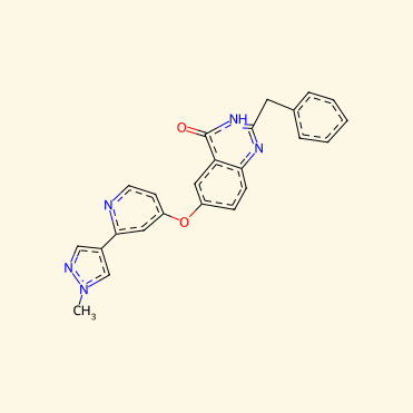 Cn1cc(-c2cc(Oc3ccc4nc(Cc5ccccc5)[nH]c(=O)c4c3)ccn2)cn1